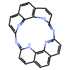 c1cc2ccc3ccc4nc5ccc6ccc7ccc(nc1nc2c3[nH]4)[nH]c7c6n5